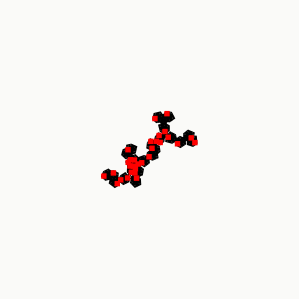 c1cc(-c2ccc(N(c3ccc(-c4cccc5c4ccc4ccc(-c6ccc(-n7c8ccccc8c8cc(-c9ccccc9N(c9ccc(-c%10cccc(-c%11cccc%12ccccc%11%12)c%10)cc9)c9ccc(-c%10cccc%11c%10ccc%10ccccc%10%11)cc9)ccc87)cc6)cc45)cc3)c3ccc(-n4c5ccccc5c5ccccc54)cc3)cc2)cc(-c2cccc3ccccc23)c1